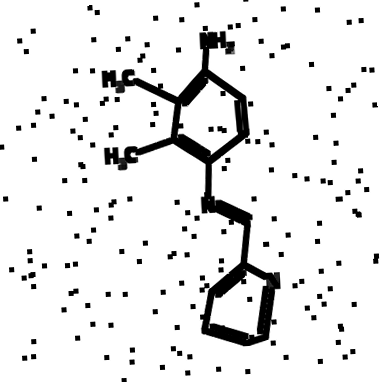 Cc1c(N)ccc(/N=C/c2ccccn2)c1C